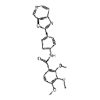 COc1ccc(C(=O)Nc2ccc(-c3nc4ccncc4o3)cc2)c(OC)c1OC